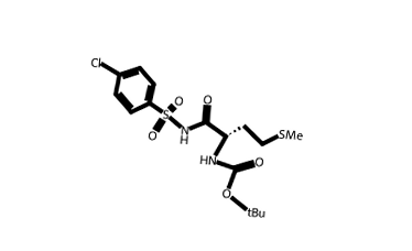 CSCC[C@H](NC(=O)OC(C)(C)C)C(=O)NS(=O)(=O)c1ccc(Cl)cc1